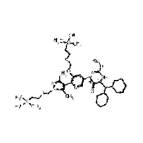 Cc1nn(COCC[Si](C)(C)C)c(C)c1-c1ncc(NC(=O)[C@@H](NC(=O)OC(C)(C)C)C(C2CCCCC2)C2CCCCC2)cc1OCOCC[Si](C)(C)C